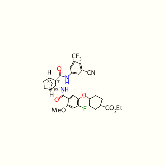 CCOC(=O)C1CCC(Oc2cc(C(=O)N[C@@H]3[C@H]4CC[C@H](C4)[C@@H]3C(=O)Nc3cc(C#N)cc(C(F)(F)F)c3)c(OC)cc2F)CC1